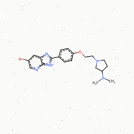 CN(C)C1CCN(CCOc2ccc(-c3nc4cc(Br)cnc4[nH]3)cc2)C1